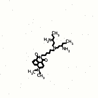 CCCC(N)CCN(CCCCCCN1C(=O)c2cccc3c(N(CC)CC)ccc(c23)C1=O)CCC(N)CCC